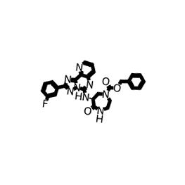 O=C1NCCN(C(=O)OCc2ccccc2)C[C@H]1Nc1nc2cccnc2c2nc(-c3cccc(F)c3)nn12